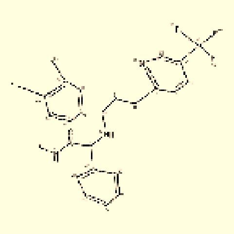 CNC(=O)C(NC(CCc1ccc(C(F)(F)F)cn1)c1ccc(F)c(C)c1)c1ccccc1